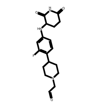 O=[C]CN1CCC(c2ccc(NC3CCC(=O)NC3=O)cc2F)CC1